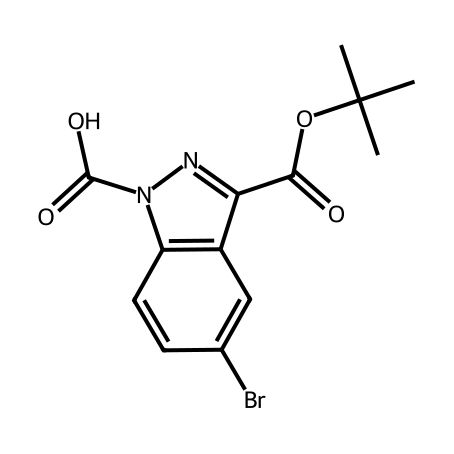 CC(C)(C)OC(=O)c1nn(C(=O)O)c2ccc(Br)cc12